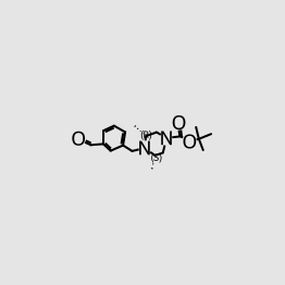 C[C@@H]1CN(C(=O)OC(C)(C)C)C[C@H](C)N1Cc1cccc(C=O)c1